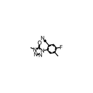 Cc1cc(-n2nnn(C)c2=O)c(C#N)cc1F